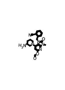 Cn1c(=O)n(Cc2ccccc2C#N)c2c(N3CCC[C@@H](N)C3)cc(OC=O)nc21